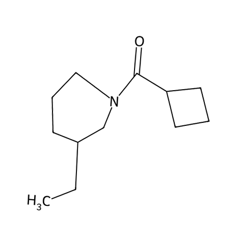 CCC1CCCN(C(=O)C2CCC2)C1